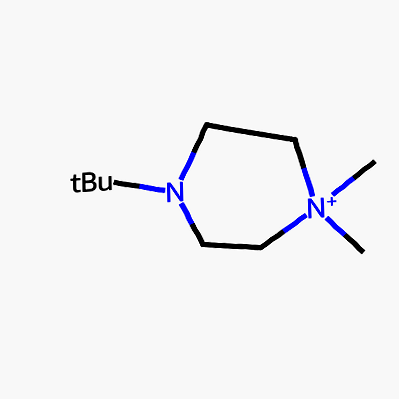 CC(C)(C)N1CC[N+](C)(C)CC1